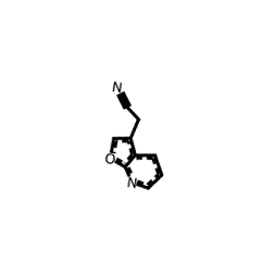 N#CCc1coc2ncccc12